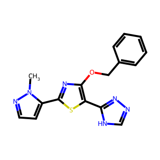 Cn1nccc1-c1nc(OCc2ccccc2)c(-c2nnc[nH]2)s1